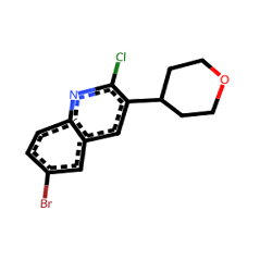 Clc1nc2ccc(Br)cc2cc1C1CCOCC1